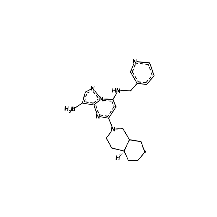 Bc1cnn2c(NCc3cccnc3)cc(N3CC[C@@H]4CCCCC4C3)nc12